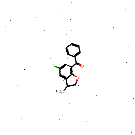 O=C(c1ccccc1)c1cc(F)cc2c1OCC2C(=O)O